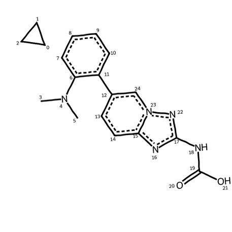 C1CC1.CN(C)c1ccccc1-c1ccc2nc(NC(=O)O)nn2c1